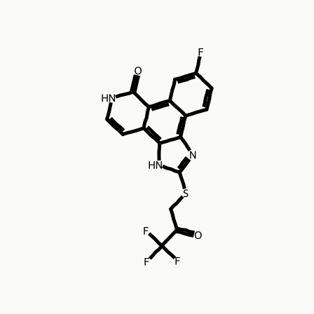 O=C(CSc1nc2c3ccc(F)cc3c3c(=O)[nH]ccc3c2[nH]1)C(F)(F)F